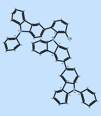 N#Cc1cccc(-c2ccc3c(c2)c2ccccc2n3-c2ccccc2)c1-n1c2ccccc2c2cc(-c3ccc4c(c3)c3ccccc3n4-c3ccccc3)ccc21